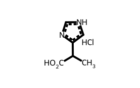 CC(C(=O)O)c1c[nH]cn1.Cl